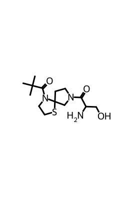 CC(C)(C)C(=O)N1CCSC12CCN(C(=O)C(N)CO)C2